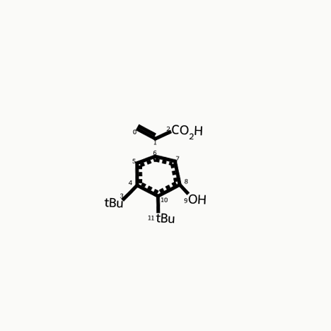 C=CC(=O)O.CC(C)(C)c1cccc(O)c1C(C)(C)C